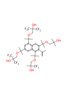 C=C(C)c1c(C(C)(C)OCC(C)(C)O)cc2c(C(C)(C)OCC(O)(C(F)(F)F)C(F)(F)F)cc(C(C)(C)OCC(O)(C(F)(F)F)C(F)(F)F)cc2c1C(C)(C)OCC(C)(O)C(F)(F)F